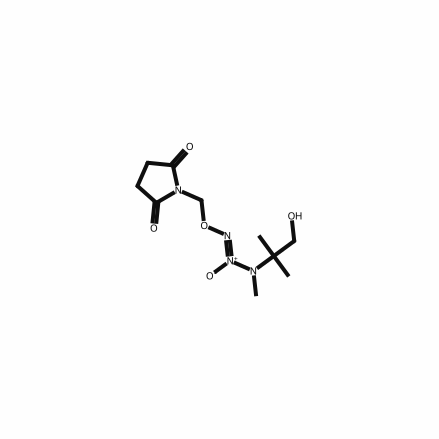 CN([N+]([O-])=NOCN1C(=O)CCC1=O)C(C)(C)CO